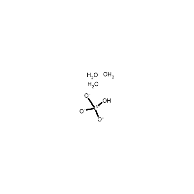 O.O.O.[O-][I+3]([O-])([O-])O